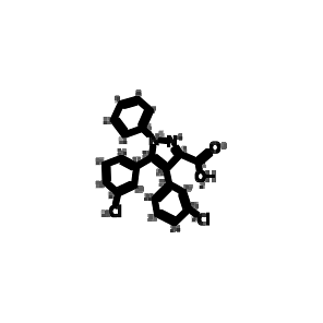 O=C(O)c1nn(-c2ccccc2)c(-c2cccc(Cl)c2)c1-c1cccc(Cl)c1